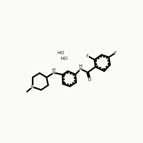 CN1CCC(Nc2cccc(NC(=O)c3ccc(F)cc3F)c2)CC1.Cl.Cl